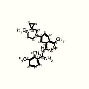 Cc1c([C@@H](N)Nc2nnc(C)c3ccc(N4CCN(C)C5(CC5)C4)cc23)cccc1C(F)(F)F